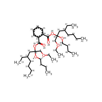 CCCCOC(COCC)(CC(CC)CCCC)OC(=O)c1ccccc1C(=O)OC(COCC)(CC(CC)CCCC)OCCCC